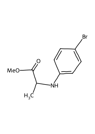 COC(=O)C(C)Nc1ccc(Br)cc1